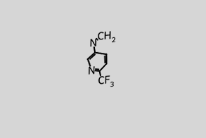 C=Nc1ccc(C(F)(F)F)nc1